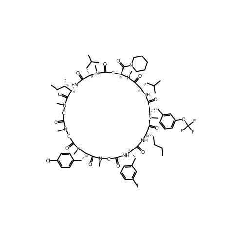 CCCC[C@@H]1NC(=O)[C@H](Cc2cccc(I)c2)NC(=O)CN(C)C(=O)[C@H](Cc2ccc(Cl)cc2)N(C)C(=O)CN(C)C(=O)CN(C)C(=O)[C@H]([C@@H](C)CC)NC(=O)[C@H](CC(C)C)N(C)C(=O)C[C@@H](C(=O)N2CCCCC2)N(C)C(=O)[C@H](CC(C)C)NC(=O)[C@H](Cc2cccc(OC(F)(F)F)c2)N(C)C1=O